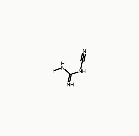 N#CNC(=N)NI